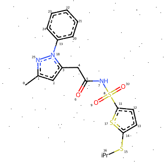 Cc1cc(CC(=O)NS(=O)(=O)c2ccc(SC(C)C)s2)n(-c2ccccc2)n1